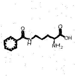 N[C@@H](CCCNC(=O)c1ccccc1)C(=O)O